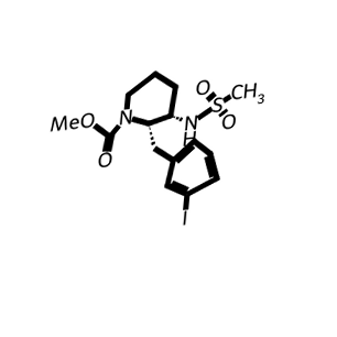 COC(=O)N1CCC[C@H](NS(C)(=O)=O)[C@@H]1Cc1cccc(I)c1